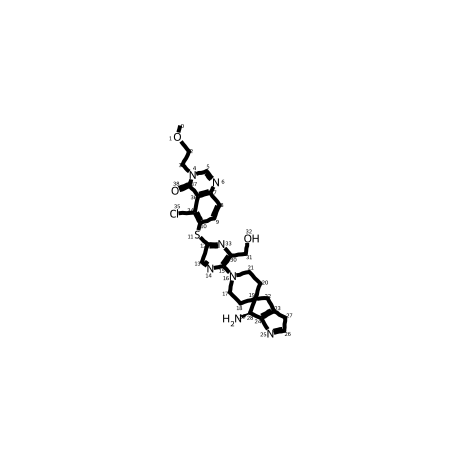 COCCn1cnc2ccc(Sc3cnc(N4CCC5(CC4)CC4=C(N=CC4)[C@H]5N)c(CO)n3)c(Cl)c2c1=O